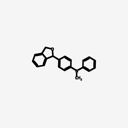 CN(c1ccccc1)c1ccc(C2OCc3ccccc32)cc1